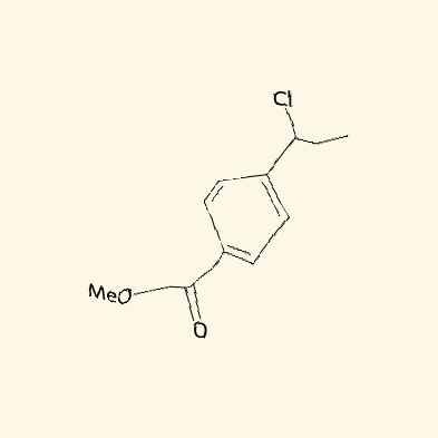 COC(=O)c1ccc(C(C)Cl)cc1